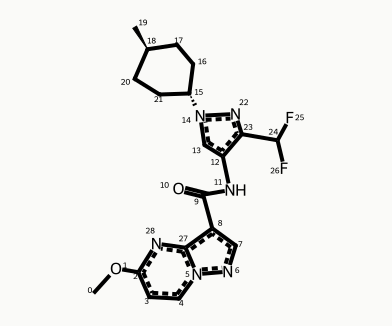 COc1ccn2ncc(C(=O)Nc3cn([C@H]4CC[C@H](C)CC4)nc3C(F)F)c2n1